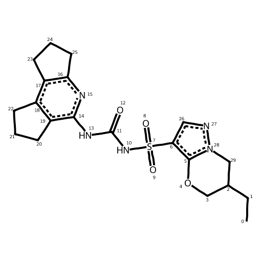 CCC1COc2c(S(=O)(=O)NC(=O)Nc3nc4c(c5c3CCC5)CCC4)cnn2C1